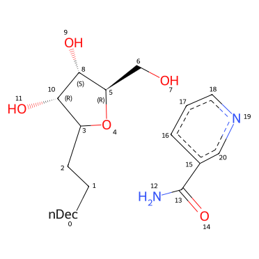 CCCCCCCCCCCCC1O[C@H](CO)[C@@H](O)[C@H]1O.NC(=O)c1cccnc1